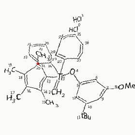 Cl.Cl.[CH2]=[Ti]([O]c1cc(OC)cc(C(C)(C)C)c1)([C]1=C(C)C(C)=C(C)C1C)([c]1ccccc1)[c]1ccccc1